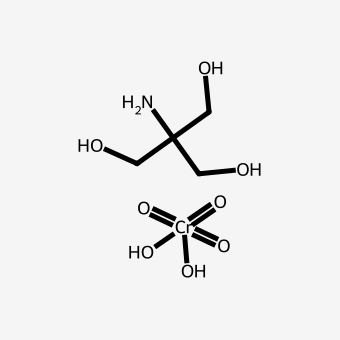 NC(CO)(CO)CO.[O]=[Cr](=[O])(=[O])([OH])[OH]